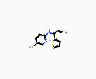 C=CC(Nc1ccc(C)cn1)c1cccs1